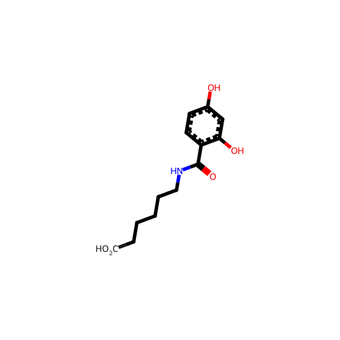 O=C(O)CCCCCNC(=O)c1ccc(O)cc1O